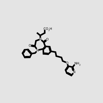 CC(CC(=O)O)N1CC(=O)N(Cc2ccccc2)c2ccc(CCCCOc3cccnc3N)cc2C1=O